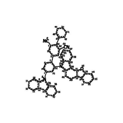 N#Cc1cc(-c2ccc(-n3c4ccccc4c4ccccc43)cc2-n2c3ccccc3c3c4oc5ccccc5c4ccc32)cc(C#N)c1-c1ccccc1